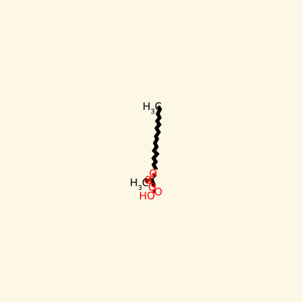 CCCCCCCCCCCCCCCCCCOC[C@H](COC(=O)O)OC